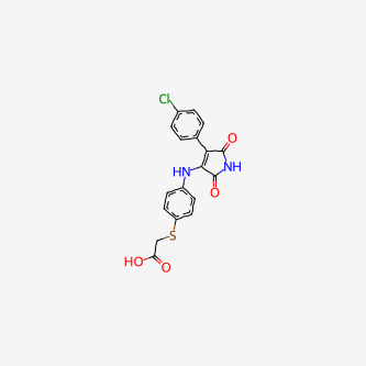 O=C(O)CSc1ccc(NC2=C(c3ccc(Cl)cc3)C(=O)NC2=O)cc1